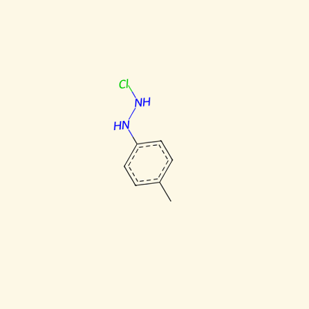 Cc1ccc(NNCl)cc1